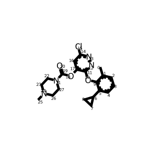 Cc1cccc(C2CC2)c1Oc1nnc(Cl)cc1OC(=O)N1CCN(C)CC1